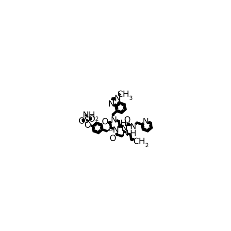 C=CCN1CC(=O)N2[C@@H](Cc3ccc(OS(N)(=O)=O)cc3)C(=O)N(Cc3cccc4c3ncn4C)C[C@@H]2N1C(=O)NCc1ccccn1